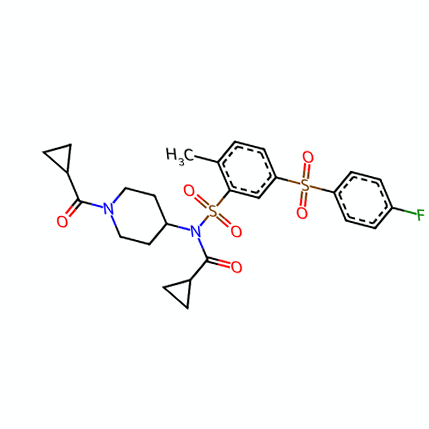 Cc1ccc(S(=O)(=O)c2ccc(F)cc2)cc1S(=O)(=O)N(C(=O)C1CC1)C1CCN(C(=O)C2CC2)CC1